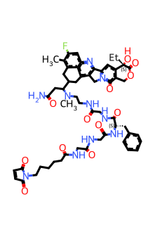 CC[C@@]1(O)C(=O)OCc2c1cc1n(c2=O)Cc2c-1nc1cc(F)c(C)c3c1c2CC(C(CC(N)=O)N(C)CCNC(=O)CNC(=O)[C@H](Cc1ccccc1)NC(=O)CNC(=O)CNC(=O)CCCCCN1C(=O)C=CC1=O)C3